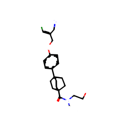 CN(CCO)C(=O)C12CCC(c3ccc(OCC(=CF)CN)cc3)(CC1)CC2